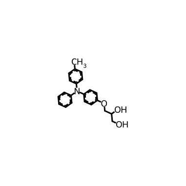 Cc1ccc(N(c2ccccc2)c2ccc(OCC(O)CO)cc2)cc1